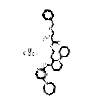 Cl.Cl.Cl.N[C@@H](COCc1ccccc1)C(=O)NCCC1C(Nc2nccc(N3CCCCCC3)n2)CCCN1C1CCCCC1